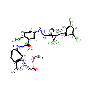 Cc1ccc(NC(=O)c2cc(NCC3(C=O)C(c4cc(Cl)cc(Cl)c4)C3(Cl)Cl)ccc2Cl)cc1NC(=O)OC(C)(C)C